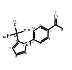 CC(=O)c1ccc([SH]2C=CC=C2C(F)(F)F)cc1